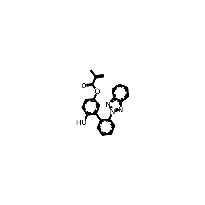 C=C(C)C(=O)Oc1ccc(O)c(-c2ccccc2-n2nc3ccccc3n2)c1